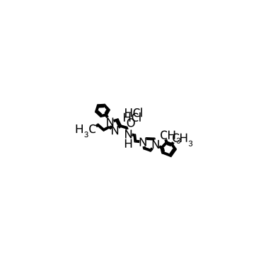 CCCc1nc(C(=O)NCCN2CCN(c3cccc(C)c3C)CC2)cn1-c1ccccc1.Cl.Cl